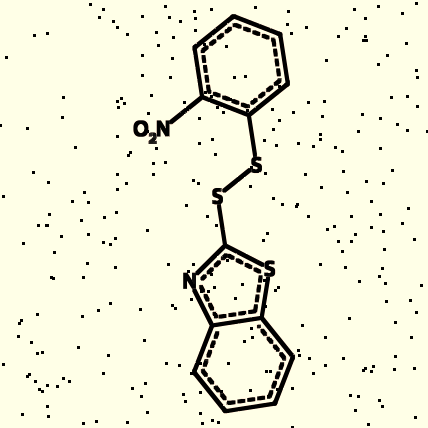 O=[N+]([O-])c1ccccc1SSc1nc2ccccc2s1